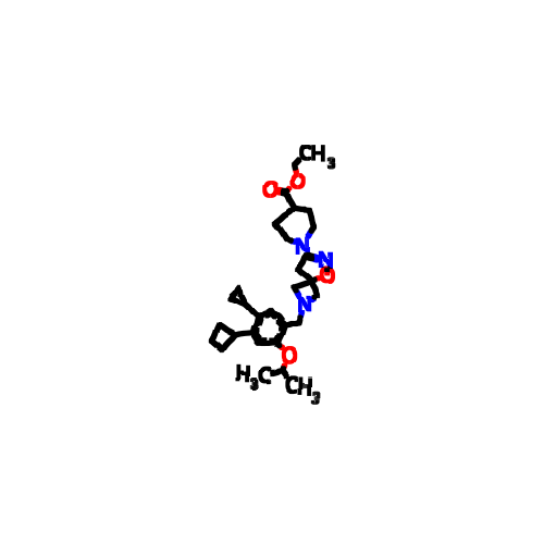 CCOC(=O)C1CCN(C2=NOC3(C2)CN(Cc2cc(C4CC4)c(C4CCC4)cc2OC(C)C)C3)CC1